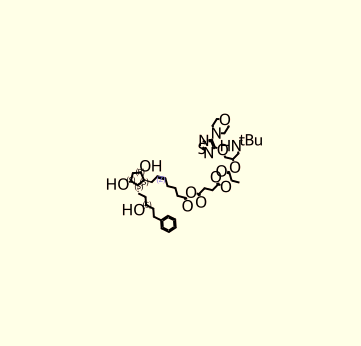 CC(OC(=O)CCC(=O)OC(=O)CCC/C=C\C[C@H]1[C@H](CC[C@H](O)CCc2ccccc2)[C@@H](O)C[C@H]1O)C(=O)OC(CNC(C)(C)C)COc1nsnc1N1CCOCC1